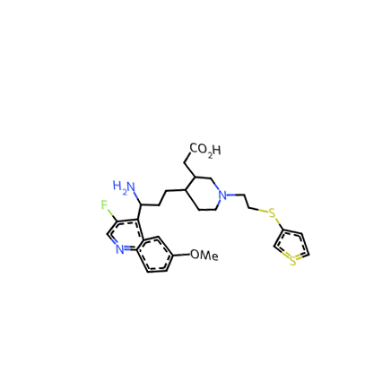 COc1ccc2ncc(F)c(C(N)CCC3CCN(CCSc4ccsc4)CC3CC(=O)O)c2c1